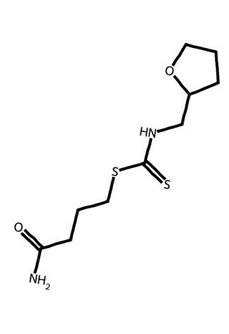 NC(=O)CCCSC(=S)NCC1CCCO1